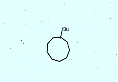 CC(C)(C)[C]1CCCCCCCC1